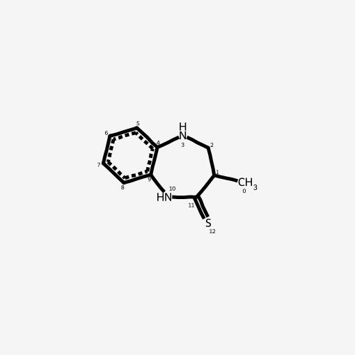 CC1CNc2ccccc2NC1=S